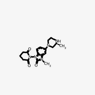 C[C@H]1CN(c2ccc3c(c2)n(C)c(=O)n3N2C(=O)CCCC2=O)CCN1